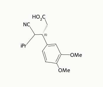 COc1ccc([C@@H](CC(=O)O)C(C#N)C(C)C)cc1OC